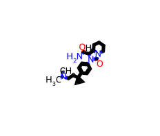 CN(C)CCC1(c2ccc(N3C(=O)N4CCC[CH][C@@H]4C3C(N)=O)cc2)CC1